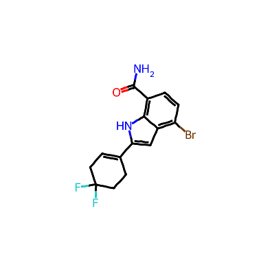 NC(=O)c1ccc(Br)c2cc(C3=CCC(F)(F)CC3)[nH]c12